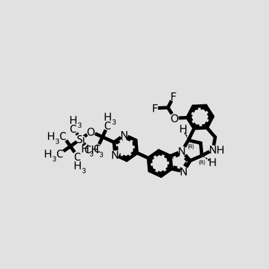 CC(C)(O[Si](C)(C)C(C)(C)C)c1ncc(-c2ccc3nc4n(c3c2)[C@@H]2C[C@H]4NCc3cccc(OC(F)F)c32)cn1